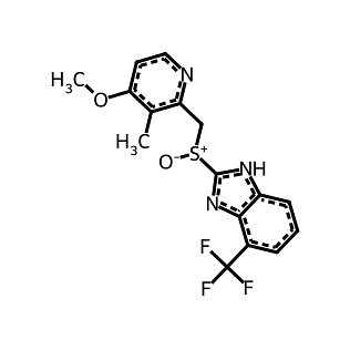 COc1ccnc(C[S+]([O-])c2nc3c(C(F)(F)F)cccc3[nH]2)c1C